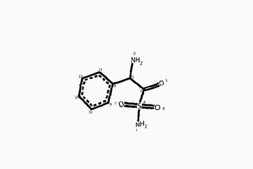 NC(C(=O)S(N)(=O)=O)c1ccccc1